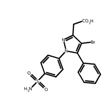 NS(=O)(=O)c1ccc(-n2nc(CC(=O)O)c(Br)c2-c2ccccc2)cc1